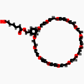 O=C(CCCCCO)OCc1ccc2c(c1)OCCOCCOCCOCCOCCOCCOCCOCCOCCOCCOCCOCCOCCO2